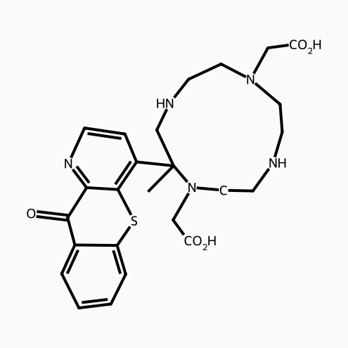 CC1(c2ccnc3c(=O)c4ccccc4sc23)CNCCN(CC(=O)O)CCNCCN1CC(=O)O